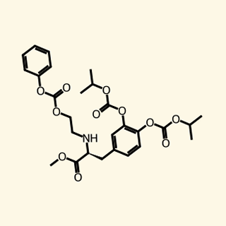 COC(=O)[C@H](Cc1ccc(OC(=O)OC(C)C)c(OC(=O)OC(C)C)c1)NCCOC(=O)Oc1ccccc1